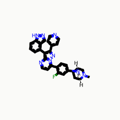 CN1C[C@@H]2CC[C@H]1CN2c1ccc(-c2ccnc3c(-c4cccc5[nH]ncc45)c(-c4ccncc4)nn23)c(F)c1